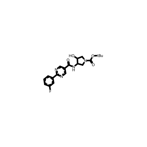 CC(C)(C)OC(=O)N1CC(O)C(NC(=O)c2cnc(-c3cccc(F)c3)nc2)C1